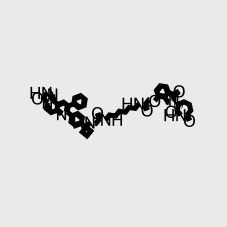 O=C(CNC1(c2ccc(-c3nc4ccn5c(=O)[nH]nc5c4cc3-c3ccccc3)cc2)CCC1)NCCCCCCNC(=O)COc1cccc2c1CN([C@H]1CCCC(=O)NC1=O)C2=O